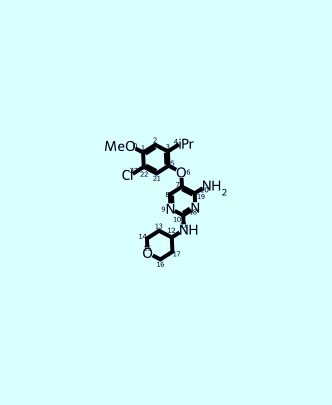 COc1cc(C(C)C)c(Oc2cnc(NC3CCOCC3)nc2N)cc1Cl